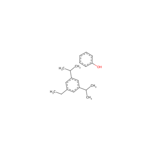 CCc1cc(C(C)C)cc(C(C)C)c1.Oc1ccccc1